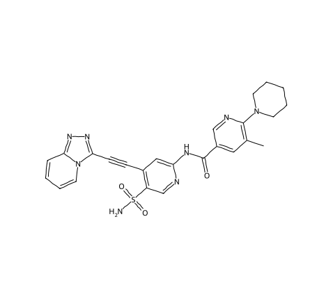 Cc1cc(C(=O)Nc2cc(C#Cc3nnc4ccccn34)c(S(N)(=O)=O)cn2)cnc1N1CCCCC1